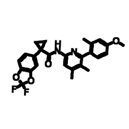 COc1ccc(-c2nc(NC(=O)C3(c4ccc5c(c4)OC(F)(F)O5)CC3)cc(C)c2C)c(C)c1